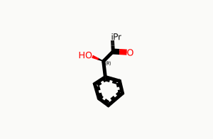 CC(C)C(=O)[C@H](O)c1ccccc1